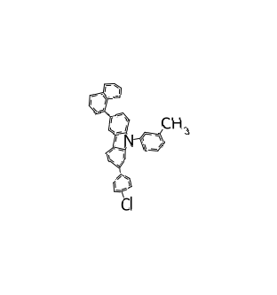 Cc1cccc(-n2c3ccc(-c4cccc5ccccc45)cc3c3ccc(-c4ccc(Cl)cc4)cc32)c1